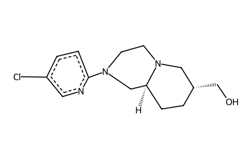 OC[C@@H]1CC[C@H]2CN(c3ccc(Cl)cn3)CCN2C1